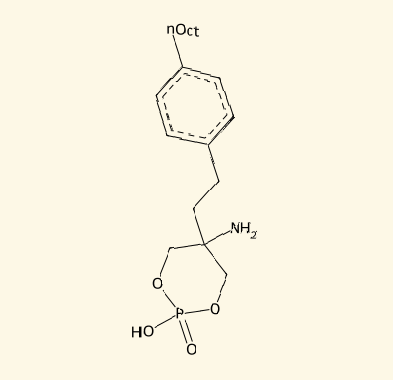 CCCCCCCCc1ccc(CCC2(N)COP(=O)(O)OC2)cc1